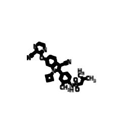 Cc1cc(-c2c(C#N)c3ccc(Oc4nccnc4C#N)cc3n2C2CCC2)ccc1NS(=O)(=O)CC(C)C